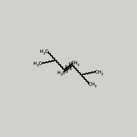 CCCCCCCCCCC(CCCCCCCC)CCCCCCCCc1c(C)sc2c1sc1c3sc(C)c(CCCCCCCCC(CCCCCCCC)CCCCCCCCCC)c3sc21